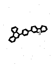 c1ccc2c(c1)cc(-c1ccc(-c3ccc4c(c3)sc3ccccc34)cc1)c1ccccc12